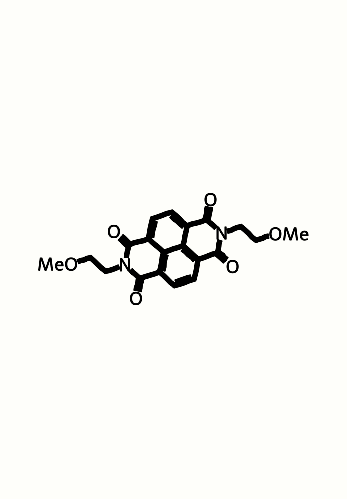 COCCN1C(=O)c2ccc3c4c(ccc(c24)C1=O)C(=O)N(CCOC)C3=O